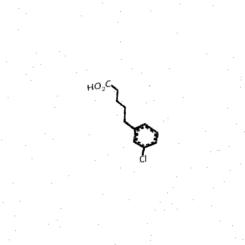 O=C(O)CCCCc1cccc(Cl)c1